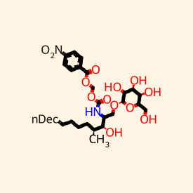 CCCCCCCCCCCCCC[C@@H](C)[C@@H](O)C(CO[C@H]1OC(CO)[C@H](O)[C@H](O)C1O)NC(=O)OCOC(=O)c1ccc([N+](=O)[O-])cc1